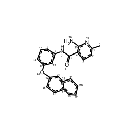 Cc1ccc(C(=O)Nc2cccc(Oc3ccc4ccccc4c3)c2)c(N)n1